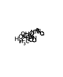 Cc1cc2cccnc2c(N2CCCN(Cc3ccn(-c4ccccc4)n3)CC2)c1OCC(C)(C)C(=O)O